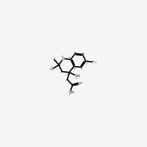 CC1(Cl)CC(O)(CC(=O)O)c2cc(F)ccc2O1